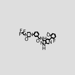 COc1cccc(F)c1-c1cc2c(NC(=O)c3cccc(N4CCN(CC(F)(F)F)C(=O)C4)c3)n[nH]c2cn1